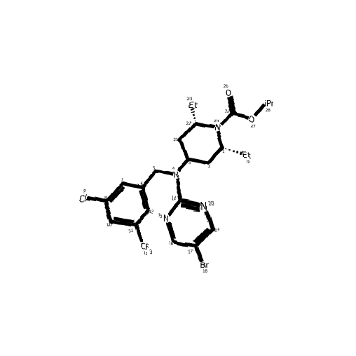 CC[C@@H]1CC(N(Cc2cc(Cl)cc(C(F)(F)F)c2)c2ncc(Br)cn2)C[C@H](CC)N1C(=O)OC(C)C